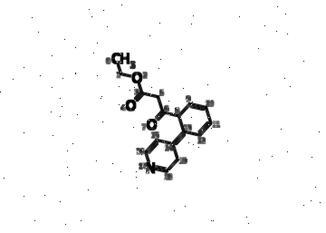 CCOC(=O)CC(=O)C1C=CC=CC1=C1C=CN=CC1